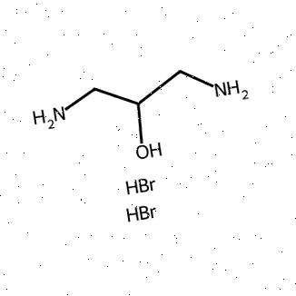 Br.Br.NCC(O)CN